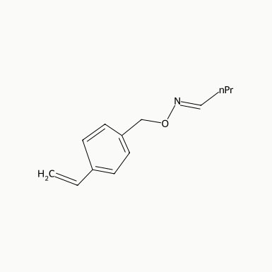 C=Cc1ccc(CON=CCCC)cc1